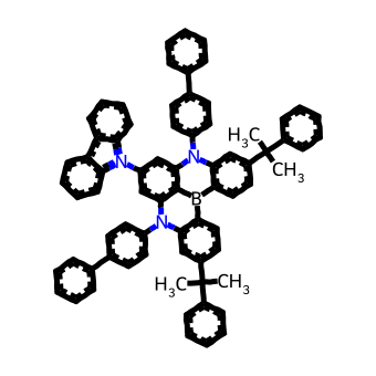 CC(C)(c1ccccc1)c1ccc2c(c1)N(c1ccc(-c3ccccc3)cc1)c1cc(-n3c4ccccc4c4ccccc43)cc3c1B2c1ccc(C(C)(C)c2ccccc2)cc1N3c1ccc(-c2ccccc2)cc1